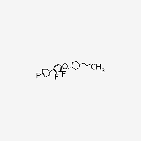 CCCC[C@H]1CC[C@H](COc2ccc(-c3ccc(F)cc3)c(F)c2F)CC1